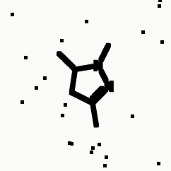 CC1=NN(C)C(C)C1